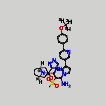 [2H]C([2H])([2H])Oc1ccc(-c2ccc(-c3ccn4c(N)c(S(C)(=O)=O)c([C@@H]5C[C@H]6CC[C@@H](C5)N6C(=O)c5nnc[nH]5)nc34)cn2)cc1